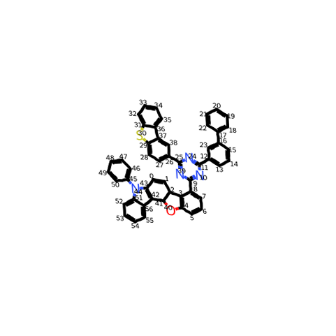 C1=CC2c3c(cccc3-c3nc(-c4cccc(-c5ccccc5)c4)nc(-c4ccc5sc6ccccc6c5c4)n3)OC2c2c1n(-c1ccccc1)c1ccccc21